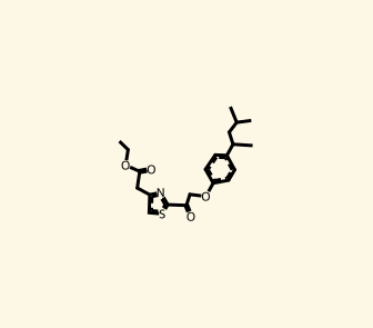 CCOC(=O)Cc1csc(C(=O)COc2ccc(C(C)CC(C)C)cc2)n1